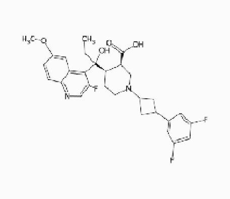 CCC(O)(c1c(F)cnc2ccc(OC)cc12)[C@@H]1CCN(C2CC(c3cc(F)cc(F)c3)C2)C[C@@H]1C(=O)O